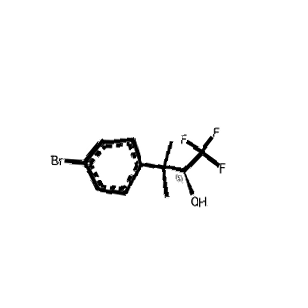 CC(C)(c1ccc(Br)cc1)[C@H](O)C(F)(F)F